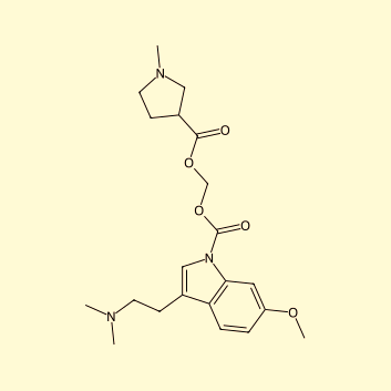 COc1ccc2c(CCN(C)C)cn(C(=O)OCOC(=O)C3CCN(C)C3)c2c1